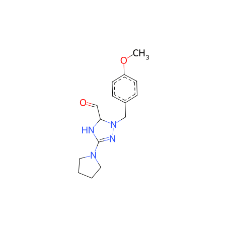 COc1ccc(CN2N=C(N3CCCC3)NC2C=O)cc1